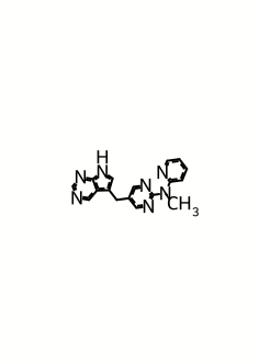 CN(c1ccccn1)c1ncc(Cc2c[nH]c3ncncc23)cn1